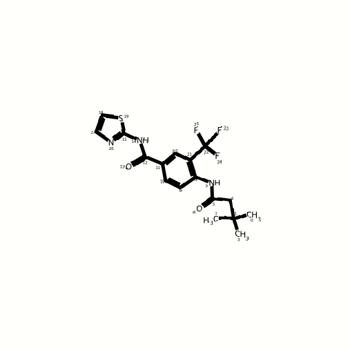 CC(C)(C)CC(=O)Nc1ccc(C(=O)Nc2nccs2)cc1C(F)(F)F